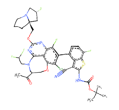 CC(=O)C1COc2c(Cl)c(-c3ccc(F)c4sc(NC(=O)OC(C)(C)C)c(C#N)c34)c(F)c3nc(OC[C@@]45CCCN4C[C@H](F)C5)nc(c23)N1CC(F)F